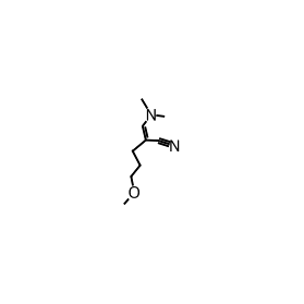 COCCC/C(C#N)=C/N(C)C